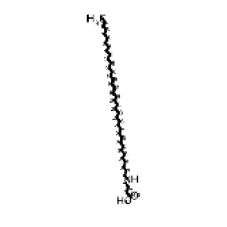 CCCCCCCCCCCCCCCCCCCCCCCCCCCCCCCCCCCCCCCNCCCC(=O)O